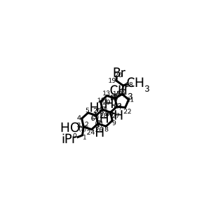 CC(C)C[C@@]1(O)CC[C@H]2[C@H](CC[C@@H]3[C@@H]2CC[C@]2(C)[C@@H](C(C)CBr)CC[C@@H]32)C1